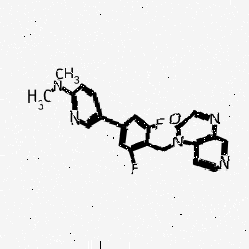 CN(C)c1ccc(-c2cc(F)c(Cn3c(=O)cnc4cnccc43)c(F)c2)cn1